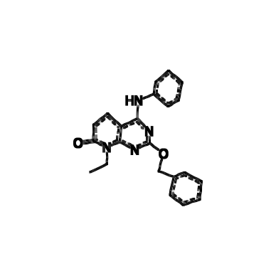 CCn1c(=O)ccc2c(Nc3ccccc3)nc(OCc3ccccc3)nc21